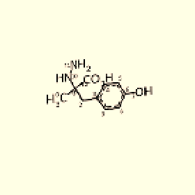 C[C@@](Cc1ccc(O)cc1)(NN)C(=O)O